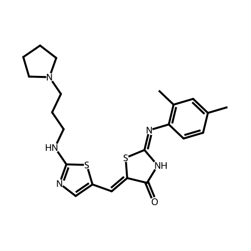 Cc1ccc(N=C2NC(=O)C(=Cc3cnc(NCCCN4CCCC4)s3)S2)c(C)c1